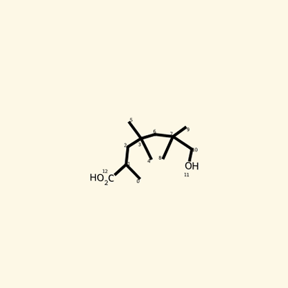 CC(CC(C)(C)CC(C)(C)CO)C(=O)O